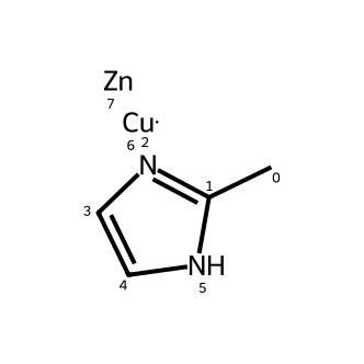 Cc1ncc[nH]1.[Cu].[Zn]